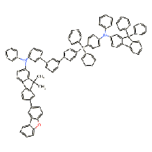 CC1(C)c2cc(-c3ccc4oc5ccccc5c4c3)ccc2-c2ccc(N(c3ccccc3)c3cccc(-c4cccc(-c5ccc([Si](c6ccccc6)(c6ccccc6)c6ccc(N(c7ccccc7)c7ccc8c(c7)C(c7ccccc7)(c7ccccc7)c7ccccc7-8)cc6)cc5)c4)c3)cc21